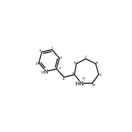 c1ccc(CC2CCCCCN2)nc1